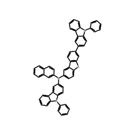 c1ccc(-n2c3ccccc3c3cc(-c4ccc5c(c4)sc4ccc(N(c6ccc7ccccc7c6)c6ccc7c(c6)c6ccccc6n7-c6ccccc6)cc45)ccc32)cc1